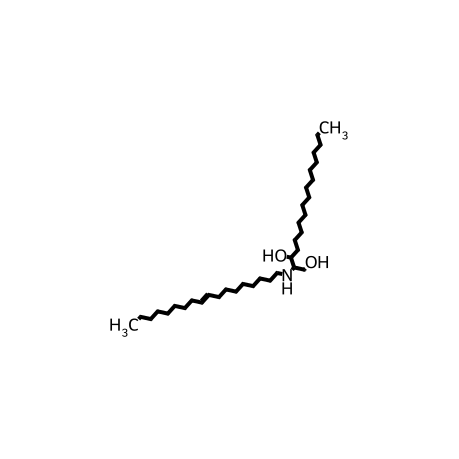 CCCCCCCCC=CCCCCCCCCNC(CO)C(O)CCCCCCCCCCCCCCC